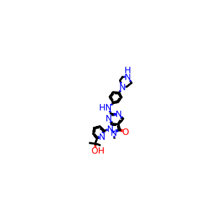 Cn1c(=O)c2cnc(Nc3ccc(N4CCNCC4)cc3)nc2n1-c1cccc(C(C)(C)O)n1